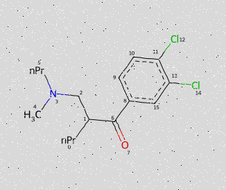 CCCC(CN(C)CCC)C(=O)c1ccc(Cl)c(Cl)c1